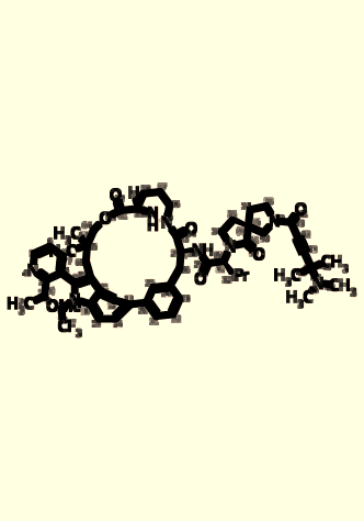 CO[C@@H](C)c1ncccc1-c1c2c3cc(ccc3n1CC(F)(F)F)-c1cccc(c1)C[C@H](NC(=O)[C@H](C(C)C)N1CC[C@]3(CCN(C(=O)C#CC(C)(C)N(C)C)C3)C1=O)C(=O)N1CCC[C@H](N1)C(=O)OCC(C)(C)C2